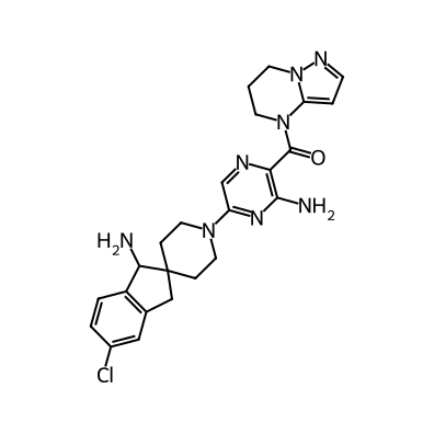 Nc1nc(N2CCC3(CC2)Cc2cc(Cl)ccc2C3N)cnc1C(=O)N1CCCn2nccc21